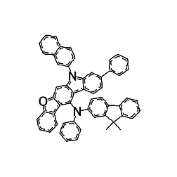 CC1(C)c2ccccc2-c2ccc(N(c3ccccc3)c3c4c(cc5c3c3ccc(-c6ccccc6)cc3n5-c3ccc5ccccc5c3)oc3ccccc34)cc21